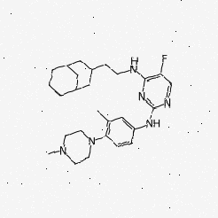 Cc1cc(Nc2ncc(F)c(NCCC3CC4CCCC(C4)C3)n2)ccc1N1CCN(C)CC1